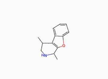 CC1CNC(C)c2oc3ccccc3c21